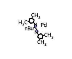 CCCCC(/C=N/c1cc(C)cc(C)c1)=N\c1cc(C)cc(C)c1.[Pd]